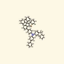 CC1(C)c2ccccc2-c2cc(N(c3ccc(-c4ccccc4)cc3)c3ccc(-c4cccc5c4-c4sc6ccccc6c4C5(c4ccccc4)c4ccccc4)cc3)ccc21